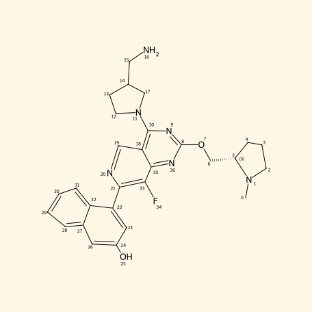 CN1CCC[C@H]1COc1nc(N2CCC(CN)C2)c2cnc(-c3cc(O)cc4ccccc34)c(F)c2n1